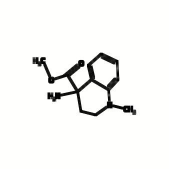 COC(=O)C1(N)CCN(C)c2ccccc21